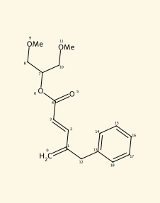 C=C(/C=C/C(=O)OC(COC)COC)Cc1ccccc1